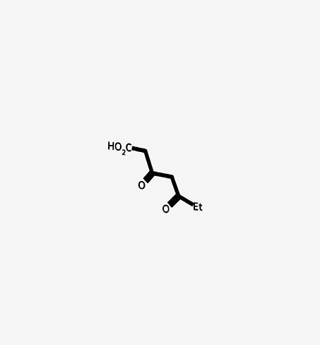 CCC(=O)CC(=O)CC(=O)O